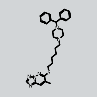 Cc1cc2ncnn2nc1SCCCCCCN1CCN(C(c2ccccc2)c2ccccc2)CC1